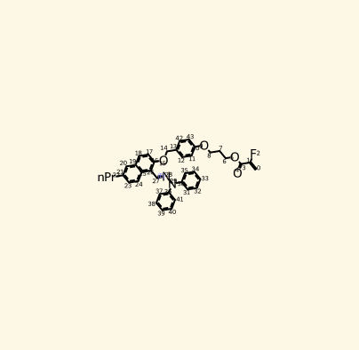 C=C(F)C(=O)OCCCOc1ccc(COc2ccc3cc(CCC)ccc3c2/C=N/N(c2ccccc2)c2ccccc2)cc1